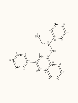 OC[C@@H](Nc1nc(-c2ccncc2)nc2ccccc12)c1ccccc1